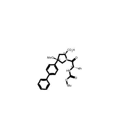 CO[C@@]1(c2ccc(-c3ccccc3)cc2)C[C@@H](C(=O)O)N(C(=O)[C@@H](NC(=O)OC(C)(C)C)C(C)C)C1